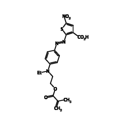 C=C(C)C(=O)OCCN(CC)c1ccc(N=Nc2sc([N+](=O)[O-])cc2C(=O)O)cc1